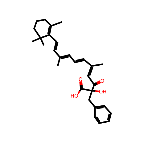 CC(C=CC1=C(C)CCCC1(C)C)=CC=CC(C)=CC(=O)C(O)(Cc1ccccc1)C(=O)O